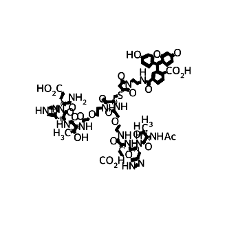 CC(=O)N[C@@H](C(=O)N[C@H](Cc1c[nH]cn1)C(=O)N[C@H](CCC(=O)O)C(=O)NCCOCC(=O)N[C@H](CSC1CC(=O)N(CCNC(=O)c2ccc(C(=O)O)c(-c3c4ccc(=O)cc-4oc4cc(O)ccc34)c2)C1=O)C(=O)NCCOCC(=O)N[C@@H](C(=O)N[C@H](Cc1c[nH]cn1)C(=O)N[C@H](CCC(=O)O)C(N)=O)[C@H](C)O)[C@H](C)O